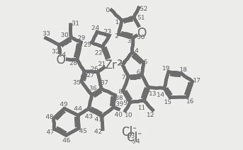 Cc1cc(C2=Cc3c(cc(C)c(C)c3-c3ccccc3)[CH]2[Zr+2](=[C]2CCC2)[CH]2C(c3cc(C)c(C)o3)=Cc3c2cc(C)c(C)c3-c2ccccc2)oc1C.[Cl-].[Cl-]